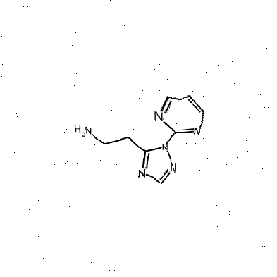 NCCc1ncnn1-c1ncccn1